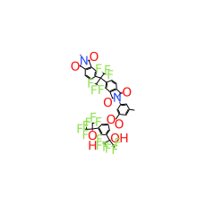 Cc1cc(C(=O)Oc2cc(C(O)(C(F)(F)F)C(F)(F)F)cc(C(O)(C(F)(F)F)C(F)(F)F)c2)cc(N2C(=O)c3ccc(C(c4ccc5c(c4)C(=O)N(C)C5=O)(C(F)(F)F)C(F)(F)F)cc3C2=O)c1